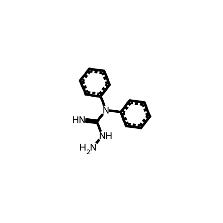 N=C(NN)N(c1ccccc1)c1ccccc1